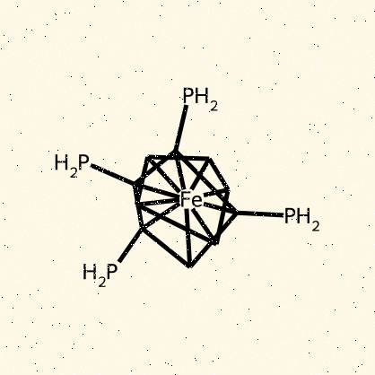 P[C]12[CH]3[C]4(P)[C]5(P)[C]1(P)[Fe]32451678[CH]2[CH]1[CH]6[CH]7[CH]28